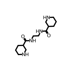 O=C(NCCNC(=O)C1CCCNC1)C1CCCNC1